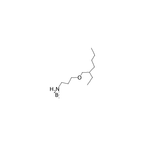 CCCCC(CC)COCCCN.[B]